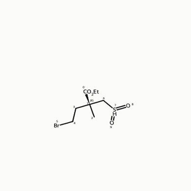 CCOC(=O)[C@@](C)(CCBr)C[SH](=O)=O